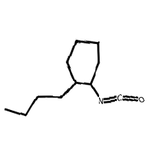 CCCCC1CCCCC1N=C=O